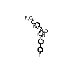 O=c1nc(N2CC=C(c3ccc(F)cc3)CC2)ncn1Cc1ccc(OCC(F)(F)F)nn1